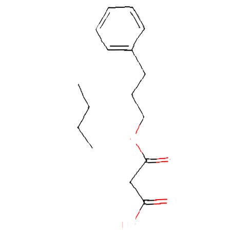 CCCC.O=C(O)CC(=O)OCCCc1ccccc1